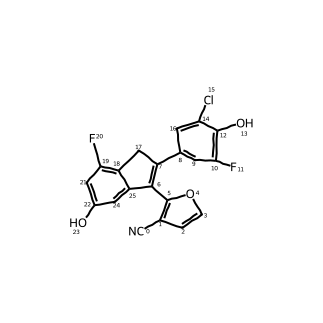 N#Cc1ccoc1C1=C(c2cc(F)c(O)c(Cl)c2)Cc2c(F)cc(O)cc21